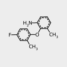 Cc1cc(F)ccc1Oc1c(C)cccc1N